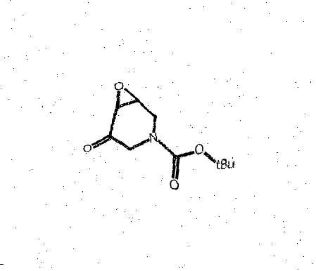 CC(C)(C)OC(=O)N1CC(=O)C2OC2C1